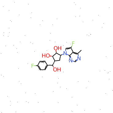 Cc1ncnc2c1c(F)cn2C1CC(C(O)c2ccc(F)cc2)[C@@H](O)[C@H]1O